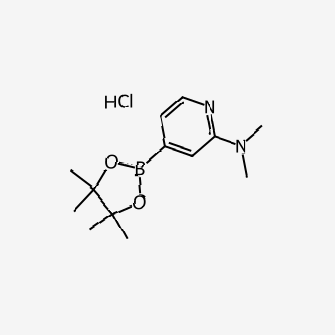 CN(C)c1cc(B2OC(C)(C)C(C)(C)O2)ccn1.Cl